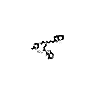 Cc1ncc(OCCN(CCCCc2ccc3c(n2)NCCC3)CCC(NC(=O)N2C(C)COCC2C)C(=O)O)cn1